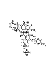 [2H]c1c(C)c([2H])c2c(c1[2H])c(=O)c([2H])c(SC([2H])([2H])c1cccc(F)c1F)n2C([2H])([2H])C(=O)N(Cc1ccc(-c2ccc(C(F)(F)F)cc2)cc1)C1CCN(C([2H])([2H])COC([2H])([2H])[2H])CC1